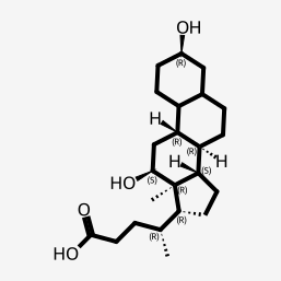 C[C@H](CCC(=O)O)[C@H]1CC[C@H]2[C@@H]3CCC4C[C@H](O)CCC4[C@H]3C[C@H](O)[C@]12C